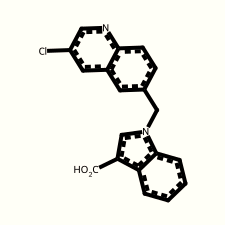 O=C(O)c1cn(Cc2ccc3ncc(Cl)cc3c2)c2ccccc12